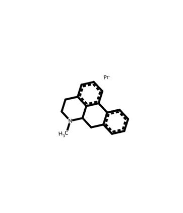 CN1CCc2cccc3c2C1Cc1ccccc1-3.[Pr]